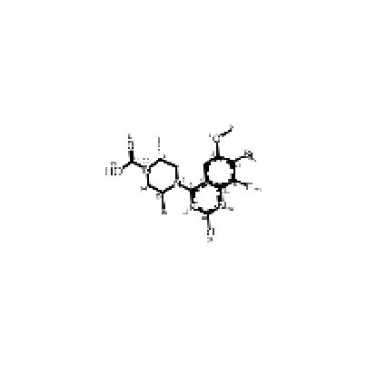 COc1cc2c(N3C[C@@H](C)N(C(=O)O)C[C@@H]3C)nc(Cl)nc2c(F)c1Br